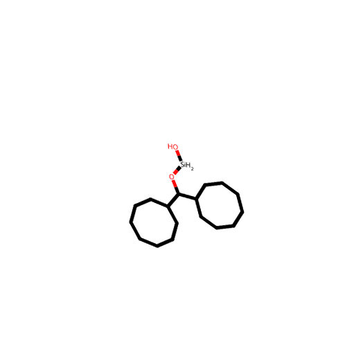 O[SiH2]OC(C1CCCCCCC1)C1CCCCCCC1